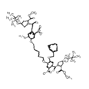 COC(=O)C1CC(O[Si](C)(C)C(C)(C)C)CN1C(=O)c1cc(OC)c(OCCCCCOc2cc([N+](=O)[O-])c(C(=O)N3C[C@H](O[Si](C)(C)C(C)(C)C)C[C@H]3C(=O)OC)cc2OCc2ccccc2)cc1[N+](=O)[O-]